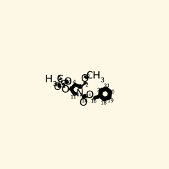 COC[C@@H]1C[C@H](OS(C)(=O)=O)CN1C(=O)OCc1ccccc1